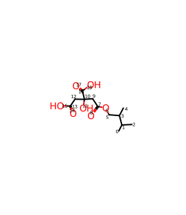 CC(C)C(C)COC(=O)CC(O)(CC(=O)O)C(=O)O